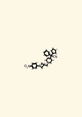 N#CC(c1ccccc1)(C1CCCC1)C1CCN(CC2CN(c3ccc([N+](=O)[O-])cc3)C2)CC1